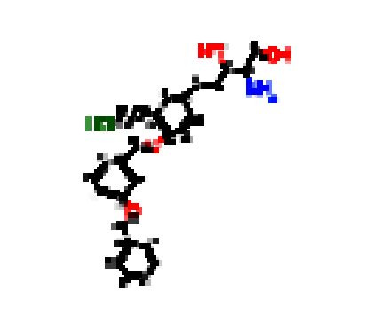 Cl.NC(CO)C(O)CCc1ccc(OCc2cccc(OCc3ccccc3)c2)c(C(F)(F)F)c1